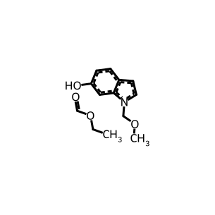 CCOC=O.COCn1ccc2ccc(O)cc21